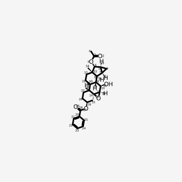 CC(=O)O[C@H]1[C@H]2C[C@H]2[C@H]2[C@@H]3[C@@H](O)[C@H]4O[C@]45C[C@@H](OC(=O)c4ccccc4)CC[C@]5(C)[C@H]3CC[C@@]21C